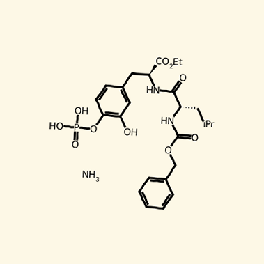 CCOC(=O)[C@H](Cc1ccc(OP(=O)(O)O)c(O)c1)NC(=O)[C@H](CC(C)C)NC(=O)OCc1ccccc1.N